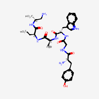 CCCC[C@H](NC(=O)[C@H](Cc1c[nH]c2ccccc12)NC(=O)CNC(=O)[C@@H](N)Cc1ccc(O)cc1)C(=O)N[C@@H](CC(=O)O)C(=O)N[C@@H](CN)C(=O)O